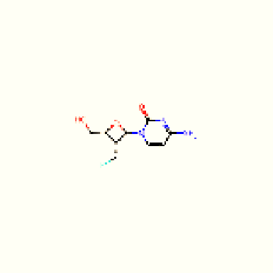 Nc1ccn([C@@H]2O[C@H](CO)[C@H]2CF)c(=O)n1